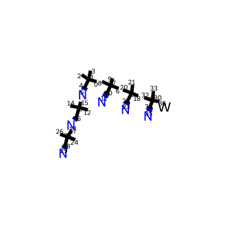 CC(C)(C)C#N.CC(C)(C)C#N.CC(C)(C)C#N.CC(C)(C)C#N.CC(C)(C)C#N.CC(C)(C)C#N.[W]